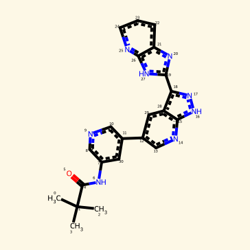 CC(C)(C)C(=O)Nc1cncc(-c2cnc3[nH]nc(-c4nc5cccnc5[nH]4)c3c2)c1